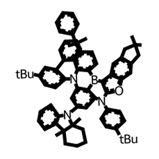 CC1(C)Cc2cc3oc4c(c3cc2C1)B1c2ccc(C(C)(C)c3ccccc3)cc2N(c2ccc(C(C)(C)C)cc2-c2ccccc2)c2cc(N3c5ccccc5C5(C)CCCCC35C)cc(c21)N4c1ccc(C(C)(C)C)cc1